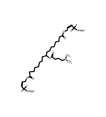 CCCCCCCC(F)(F)/C=C\COC(=O)CCCCCCCC(CCCCCCCC(=O)OC/C=C\C(F)(F)CCCCCCC)OC(=O)CCCN(C)C